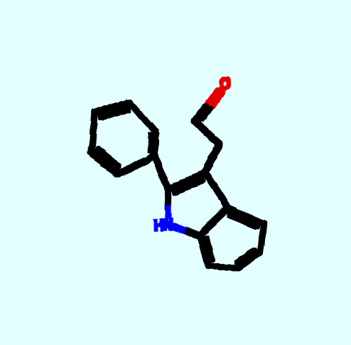 O=CCc1c(-c2ccccc2)[nH]c2ccccc12